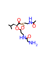 CC(=O)NCCSC(=O)[C@H](CC(C)C)OC(=O)CCNC(=O)CN